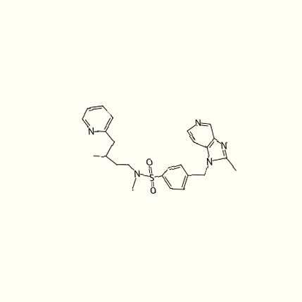 Cc1nc2cnccc2n1Cc1ccc(S(=O)(=O)N(C)CCC(C)Cc2ccccn2)cc1